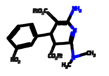 CCOC(=O)C1=C(N)N=C(N(C)C)C(C(=O)OCC)C1c1cccc([N+](=O)[O-])c1